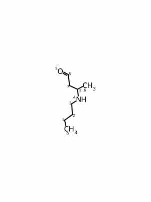 CCCCNC(C)CC=O